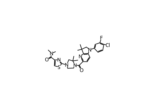 CN(C)C(=O)c1csc(N2CCN(C(=O)c3ccc4c(n3)C(C)(C)CN4c3ccc(Cl)c(F)c3)C(C)(C)C2)n1